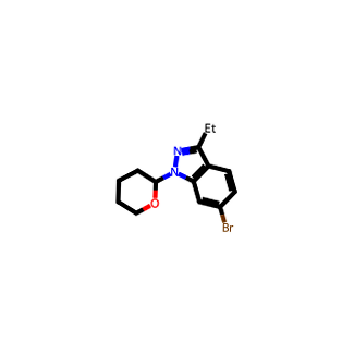 CCc1nn(C2CCCCO2)c2cc(Br)ccc12